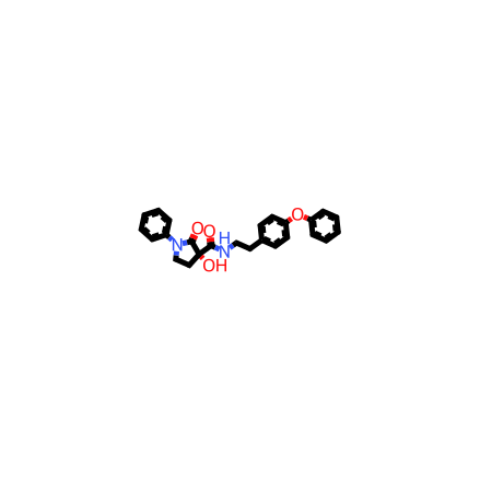 O=C(NCCc1ccc(Oc2ccccc2)cc1)C1(O)CCN(c2ccccc2)C1=O